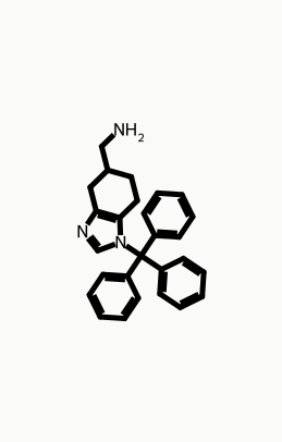 NCC1CCc2c(ncn2C(c2ccccc2)(c2ccccc2)c2ccccc2)C1